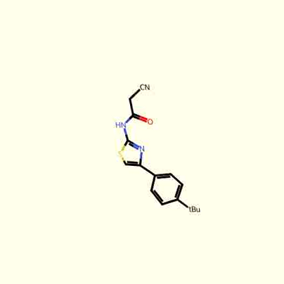 CC(C)(C)c1ccc(-c2csc(NC(=O)CC#N)n2)cc1